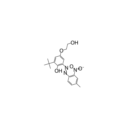 Cc1ccc(N=Nc2cc(OCCO)cc(C(C)(C)C)c2O)c([N+](=O)[O-])c1